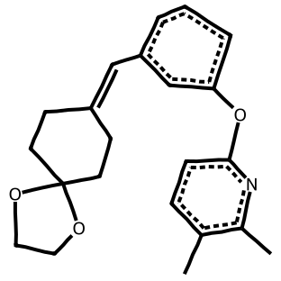 Cc1ccc(Oc2cccc(C=C3CCC4(CC3)OCCO4)c2)nc1C